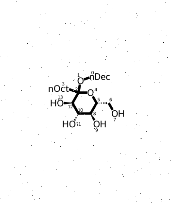 CCCCCCCCCCOC1(CCCCCCCC)O[C@H](CO)[C@@H](O)[C@H](O)[C@H]1O